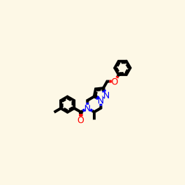 Cc1cccc(C(=O)N2Cc3cc(COc4ccccc4)nn3CC2C)c1